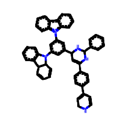 C1=CC2c3ccccc3N(c3cc(C4C=C(c5ccc(C6=CCNC=C6)cc5)NC(c5ccccc5)N4)cc(-n4c5ccccc5c5ccccc54)c3)C2C=C1